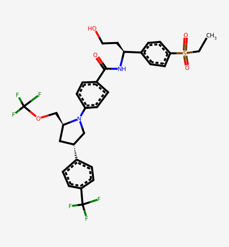 CCS(=O)(=O)c1ccc([C@H](CCO)NC(=O)c2ccc(N3C[C@H](c4ccc(C(F)(F)F)cc4)C[C@H]3COC(F)(F)F)cc2)cc1